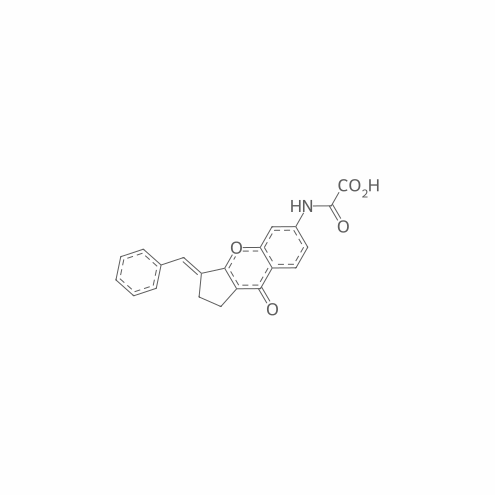 O=C(O)C(=O)Nc1ccc2c(=O)c3c(oc2c1)/C(=C/c1ccccc1)CC3